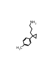 Cc1ccc(C2(CCCN)CC2)cc1